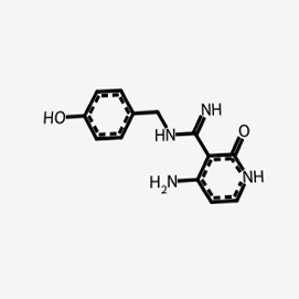 N=C(NCc1ccc(O)cc1)c1c(N)cc[nH]c1=O